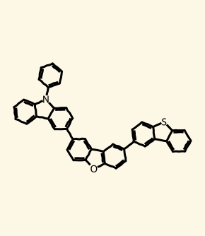 c1ccc(-n2c3ccccc3c3cc(-c4ccc5oc6ccc(-c7ccc8sc9ccccc9c8c7)cc6c5c4)ccc32)cc1